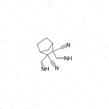 N#CC1(C=N)C2CCC(C2)C1(C#N)C=N